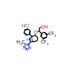 Cl.Cn1nnnc1C1CC2(c3ccccc3)NC1CCC2OC(CO)c1cc(C(F)(F)F)cc(C(F)(F)F)c1